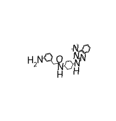 CN(C)c1nc(NC2CCC(NC(=O)Cc3cccc(N)c3)CC2)nc2ccccc12